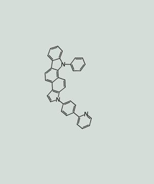 c1ccc(-n2c3ccccc3c3ccc4c5ccn(-c6ccc(-c7ccccn7)cc6)c5ccc4c32)cc1